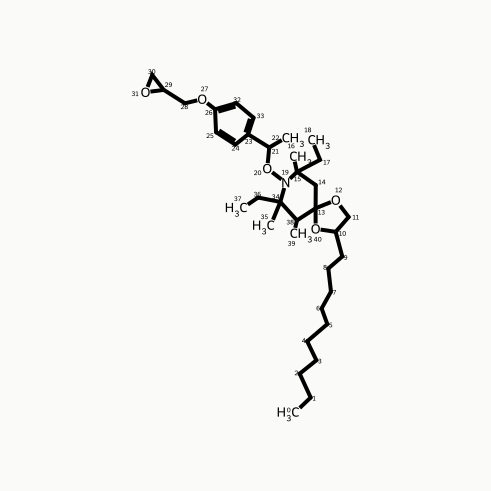 CCCCCCCCCCC1COC2(CC(C)(CC)N(OC(C)c3ccc(OCC4CO4)cc3)C(C)(CC)C2C)O1